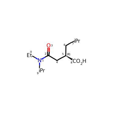 CCN(C(=O)C[C@@H](CC(C)C)C(=O)O)C(C)C